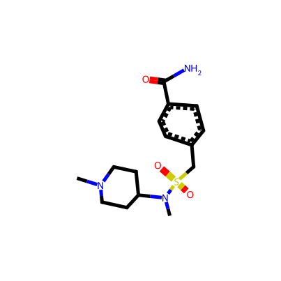 CN1CCC(N(C)S(=O)(=O)Cc2ccc(C(N)=O)cc2)CC1